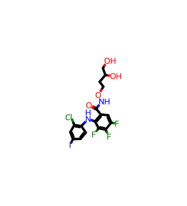 O=C(NOCCC(O)CO)c1cc(F)c(F)c(F)c1Nc1ccc(I)cc1Cl